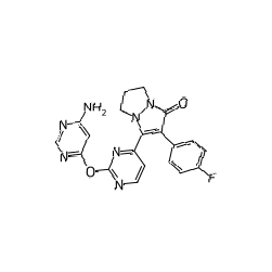 Nc1cc(Oc2nccc(-c3c(-c4ccc(F)cc4)c(=O)n4n3CCC4)n2)ncn1